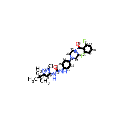 Cn1nc(C(C)(C)C)cc1NC(=O)Nc1ccc(N2CCN(C(=O)c3c(F)cccc3F)CC2)cc1